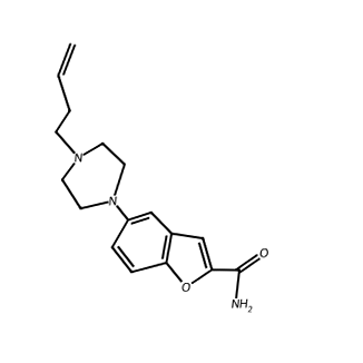 C=CCCN1CCN(c2ccc3oc(C(N)=O)cc3c2)CC1